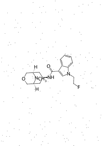 CN1[C@@H]2COC[C@H]1C[C@@H](NC(=O)c1cn(CCF)c3ccccc13)C2